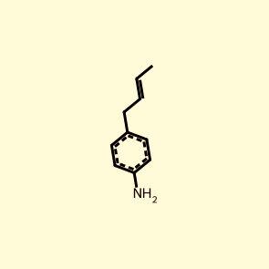 C/C=C/Cc1ccc(N)cc1